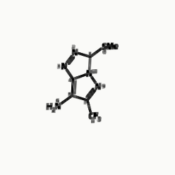 CSC1N=Nc2c(N)c(C(F)(F)F)nn21